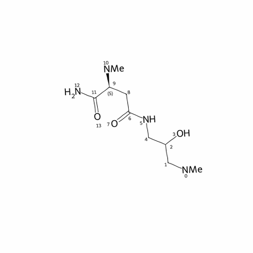 CNCC(O)CNC(=O)C[C@H](NC)C(N)=O